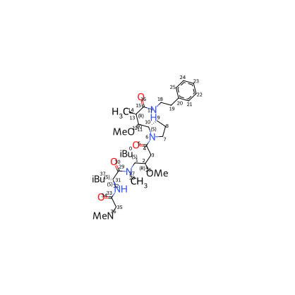 CC[C@H](C)C([C@@H](CC(=O)N1CCC[C@H]1[C@H](OC)[C@@H](C)C(=O)NCCc1ccccc1)OC)N(C)C(=O)[C@@H](NC(=O)CNC)[C@@H](C)CC